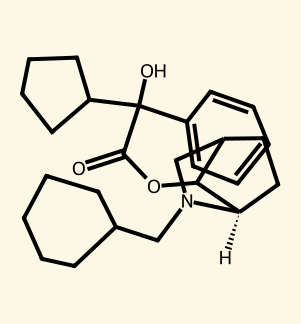 O=C(OC1C2CC[C@H]1N(CC1CCCCC1)C2)C(O)(c1ccccc1)C1CCCC1